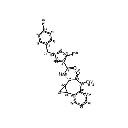 CN1C(=O)[C@@H](NC(=O)c2nn(Cc3ccc(F)cc3)cc2F)C2CC2c2cccnc21